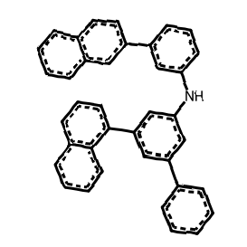 c1ccc(-c2cc(Nc3cccc(-c4ccc5ccccc5c4)c3)cc(-c3cccc4ccccc34)c2)cc1